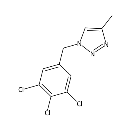 Cc1cn(Cc2cc(Cl)c(Cl)c(Cl)c2)nn1